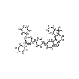 CC1(C)c2ccccc2-c2c1ccc1oc3ccc(-c4ccc(-c5nc(-c6ccccc6)nc(-c6ccccc6)n5)cc4)cc3c21